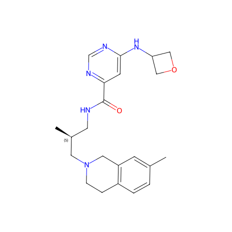 Cc1ccc2c(c1)CN(C[C@@H](C)CNC(=O)c1cc(NC3COC3)ncn1)CC2